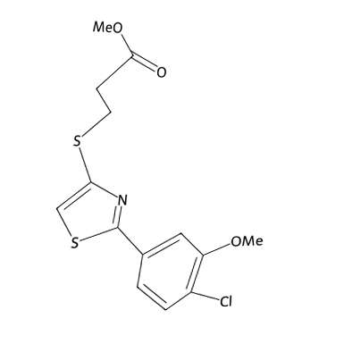 COC(=O)CCSc1csc(-c2ccc(Cl)c(OC)c2)n1